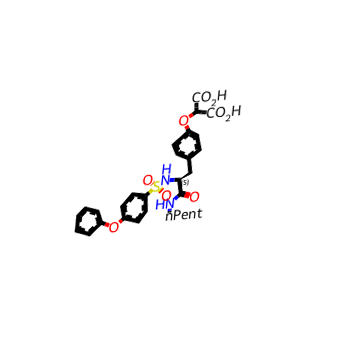 CCCCCNC(=O)[C@H](Cc1ccc(OC(C(=O)O)C(=O)O)cc1)NS(=O)(=O)c1ccc(Oc2ccccc2)cc1